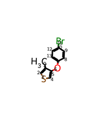 Cc1cscc1Oc1ccc(Br)cc1